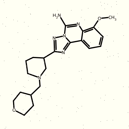 COc1cccc2c1nc(N)n1nc(C3CCCN(CC4CCOCC4)C3)nc21